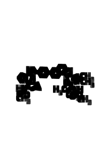 COC(=O)N[C@@H](CC1CC1)C(=O)N1CCC[C@H]1c1ncc(-c2ccc(-c3ccc4c(ccc5nc([C@@H]6C[Si](C)(C)CN6C(=O)[C@@H](NC(=O)OC)C(C)C)[nH]c54)c3)cc2)[nH]1